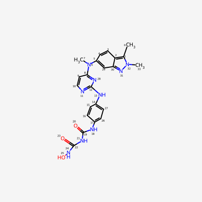 Cc1c2ccc(N(C)c3ccnc(Nc4ccc(NC(=O)NC(=O)NO)cc4)n3)cc2nn1C